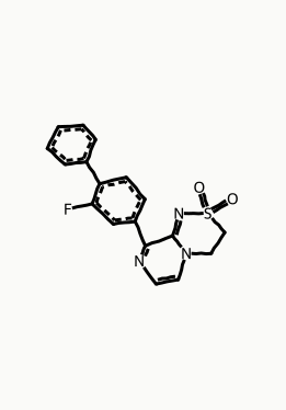 O=S1(=O)CCN2C=CN=C(c3ccc(-c4ccccc4)c(F)c3)C2=N1